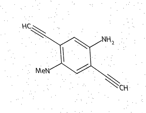 C#Cc1cc(NC)c(C#C)cc1N